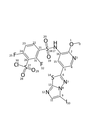 COc1ncc(-c2nn3c(I)cnc3s2)cc1NS(=O)(=O)c1ccc(F)c(S(=O)(=O)Cl)c1F